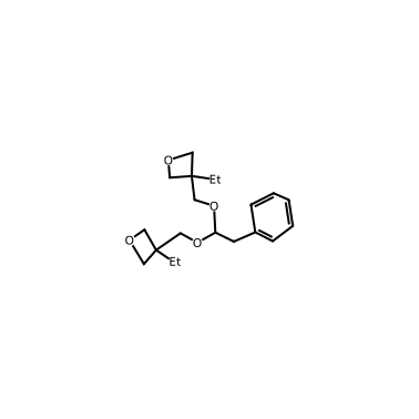 CCC1(COC(Cc2ccccc2)OCC2(CC)COC2)COC1